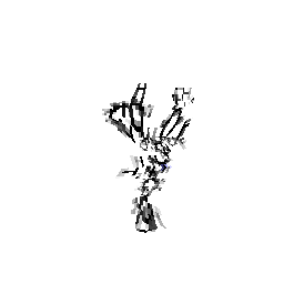 CSc1ccc(OC(F)F)c(-c2nn(C/C(N)=C/N(N)C3CCN(C4COC4)CC3)cc2NC(=O)C2=C3N=CC=CN3NC2)c1